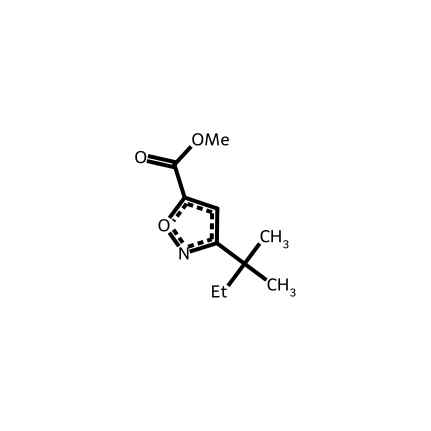 CCC(C)(C)c1cc(C(=O)OC)on1